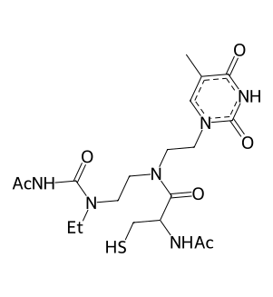 CCN(CCN(CCn1cc(C)c(=O)[nH]c1=O)C(=O)C(CS)NC(C)=O)C(=O)NC(C)=O